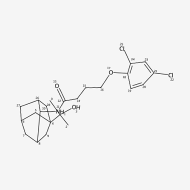 CC(C)(O)C12CC3CC(C1)C(NC(=O)CCCOc1ccc(Cl)cc1Cl)C(C3)C2